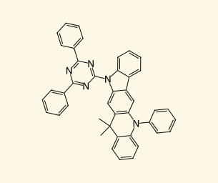 CC1(C)c2ccccc2N(c2ccccc2)c2cc3c4ccccc4n(-c4nc(-c5ccccc5)nc(-c5ccccc5)n4)c3cc21